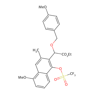 CCOC(=O)C(OCc1ccc(OC)cc1)c1c(C)cc2c(OC)cccc2c1OS(=O)(=O)C(F)(F)F